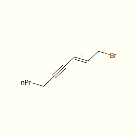 CCCCC#C/C=C/CBr